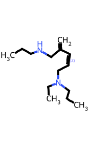 C=C(/C=C\CN(CC)CCC)CNCCC